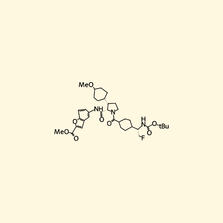 COC(=O)c1cc2cc(NC(=O)[C@@H]3[C@H](C4CCC(OC)CC4)CCN3C(=O)C3CCC([C@@H](CF)NC(=O)OC(C)(C)C)CC3)ccc2o1